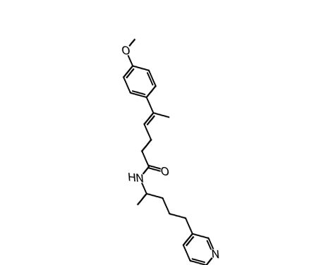 COc1ccc(/C(C)=C/CCC(=O)NC(C)CCCc2cccnc2)cc1